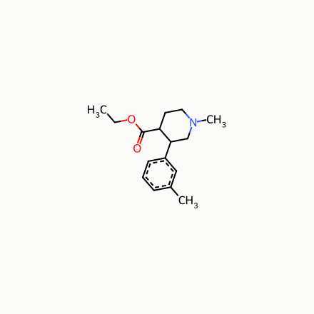 CCOC(=O)C1CCN(C)CC1c1cccc(C)c1